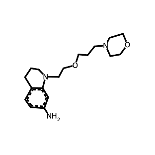 Nc1ccc2c(c1)N(CCOCCCN1CCOCC1)CCC2